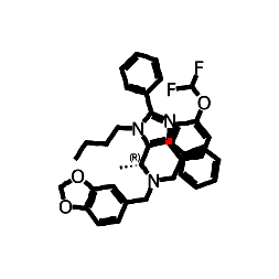 CCCCn1c(-c2ccccc2)nc(-c2ccccc2)c1[C@@H](C)N(Cc1ccc(OC(F)F)cc1)Cc1ccc2c(c1)OCO2